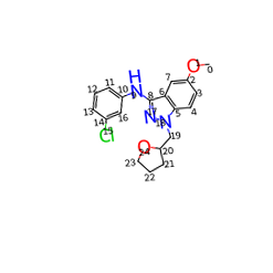 COc1ccc2c(c1)c(Nc1cccc(Cl)c1)nn2CC1CCCO1